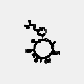 C=C(OC)O/C=C(N)/C=C(\C)[C@@H]1C/C=C(/C)CC2NC2[C@H](C)[C@H](O)[C@@H](C)C(=O)C(C)(C)[C@@H](O)CC(=O)O1